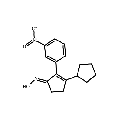 O=[N+]([O-])c1cccc(C2=C(C3CCCC3)CCC2=NO)c1